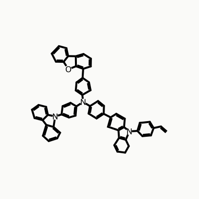 C=Cc1ccc(-n2c3c(c4cc(-c5ccc(N(c6ccc(-c7cccc8c7oc7ccccc78)cc6)c6ccc(-n7c8ccccc8c8ccccc87)cc6)cc5)ccc42)C=CCC3)cc1